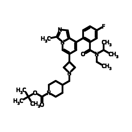 CCN(C(=O)c1cc(F)ccc1-c1cc(C2CN(CC3CCN(C(=O)OC(C)(C)C)CC3)C2)cn2c(C)ncc12)C(C)C